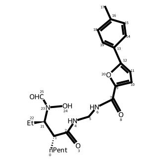 CCCCC[C@@H](C(=O)NCNC(=O)c1ccc(-c2ccc(C)cc2)o1)[C@@H](CC)N(O)C=O